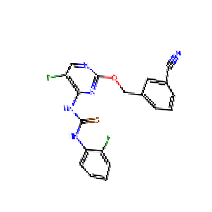 N#Cc1cccc(COc2ncc(F)c(NC(=S)Nc3ccccc3F)n2)c1